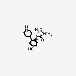 CN(C)C(=O)Nc1ccccc1C1CCNCC1.Cl